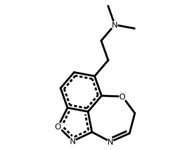 CN(C)CCc1ccc2onc3c2c1OCC=N3